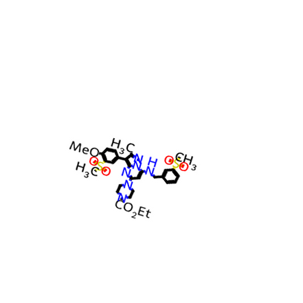 CCOC(=O)N1CCN(c2cc(NCc3cccc(S(C)(=O)=O)c3)n3nc(C)c(-c4ccc(OC)c(S(C)(=O)=O)c4)c3n2)CC1